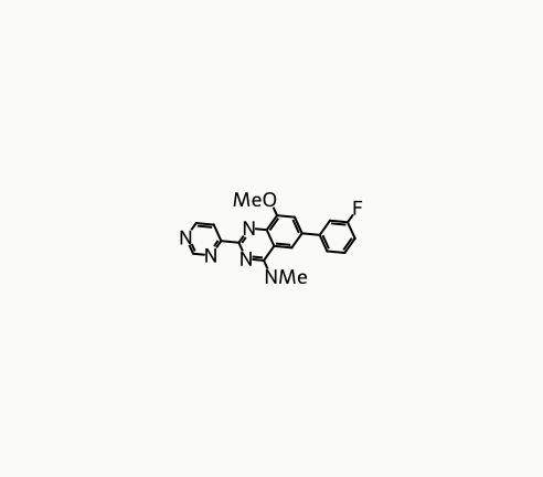 CNc1nc(-c2ccncn2)nc2c(OC)cc(-c3cccc(F)c3)cc12